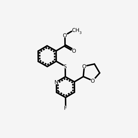 COC(=O)c1ccccc1Sc1ncc(F)cc1C1OCCO1